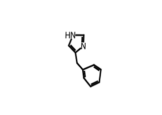 c1ccc(Cc2c[nH]cn2)cc1